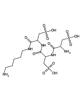 NCCCCCNC(=O)C(CS(=O)(=O)O)NC(=O)C(CS(=O)(=O)O)NC(=O)C(N)CS(=O)(=O)O